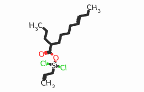 C=CC[Si](Cl)(Cl)OC(=O)C(CCC)CCCCC=CCC